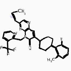 C/C=C\c1cnc2cc(C3CCC(c4c(C)cccc4F)CC3)c(=O)n(Cc3ncccc3C(F)(F)F)c2n1